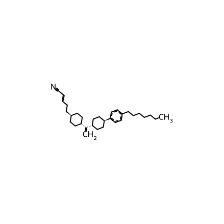 C=C([C@H]1CC[C@H](CC/C=C/C#N)CC1)[C@H]1CC[C@H](c2ccc(CCCCCCC)cc2)CC1